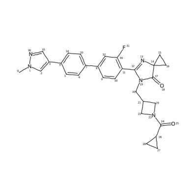 Cn1cc(-c2ccc(-c3ccc(C4=NC5(CC5)C(=O)N4CC4CN(C(=O)C5CC5)C4)c(F)c3)cc2)cn1